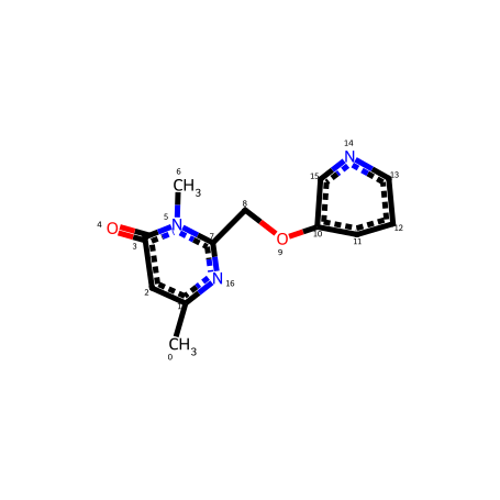 Cc1cc(=O)n(C)c(COc2cccnc2)n1